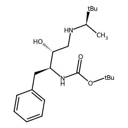 C[C@@H](NC[C@@H](O)[C@H](Cc1ccccc1)NC(=O)OC(C)(C)C)C(C)(C)C